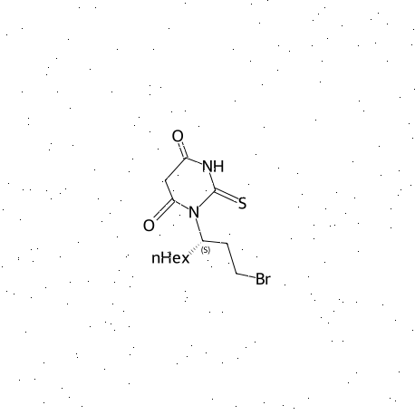 CCCCCC[C@@H](CCBr)N1C(=O)CC(=O)NC1=S